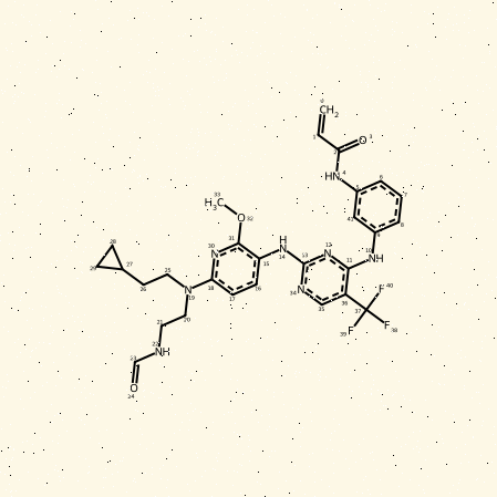 C=CC(=O)Nc1cccc(Nc2nc(Nc3ccc(N(CCNC=O)CCC4CC4)nc3OC)ncc2C(F)(F)F)c1